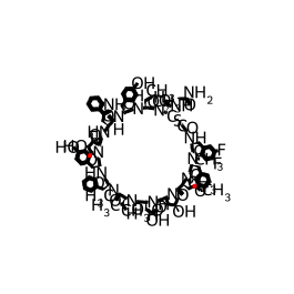 COCC[C@H]1C(=O)N2C[C@@H](O)C[C@@H]2C(=O)N[C@@H](CC(=O)O)C(=O)N[C@@H](C(C)C)C(=O)N(C)[C@@H](Cc2ccccc2)C(=O)N[C@@H](Cc2ccc(O)cc2)C(=O)N2C[C@@H](O)C[C@@H]2C(=O)N[C@@H](Cc2c[nH]c3ccccc23)C(=O)N[C@@H](Cc2ccc(O)cc2)C(=O)N[C@@H](CC(C)C)C(=O)N[C@H](C(=O)NCC(N)=O)CSCC(=O)N[C@@H](Cc2ccc(F)c(F)c2)C(=O)N(C)[C@@H](Cc2ccccc2)C(=O)N1C